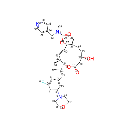 C/C(=C\c1cc(F)cc(N2CCOCC2)c1)[C@H]1OC(=O)C[C@H](O)CC[C@H](C)[C@@H](OC(=O)N(C)Cc2ccncc2)/C=C/[C@@H]1C